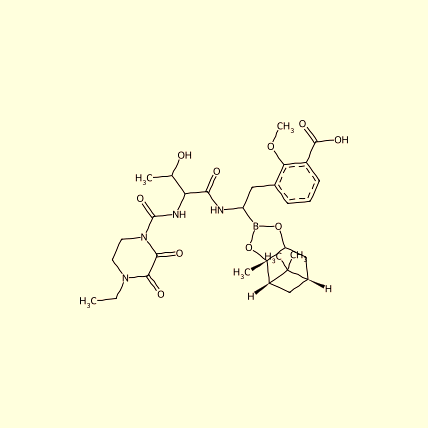 CCN1CCN(C(=O)NC(C(=O)NC(Cc2cccc(C(=O)O)c2OC)B2OC3C[C@@H]4C[C@@H](C4(C)C)[C@]3(C)O2)C(C)O)C(=O)C1=O